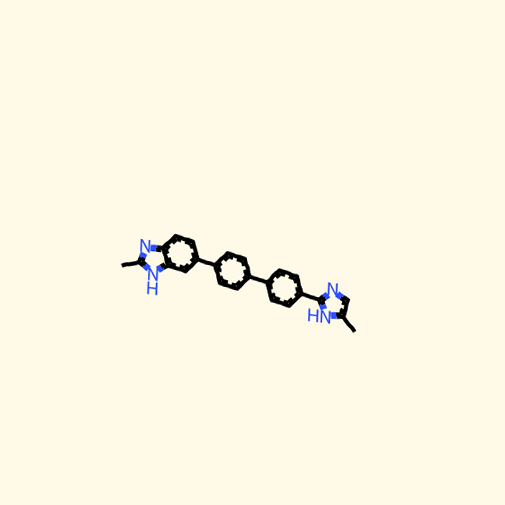 Cc1cnc(-c2ccc(-c3ccc(-c4ccc5nc(C)[nH]c5c4)cc3)cc2)[nH]1